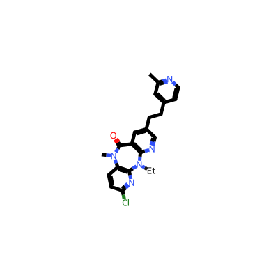 CCN1c2ncc(CCc3ccnc(C)c3)cc2C(=O)N(C)c2ccc(Cl)nc21